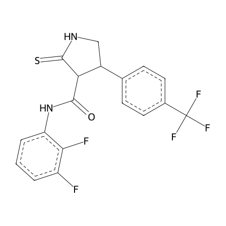 O=C(Nc1cccc(F)c1F)C1C(=S)NCC1c1ccc(C(F)(F)F)cc1